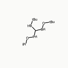 CC(C)OPC(BOC(C)(C)C)BC(C)(C)C